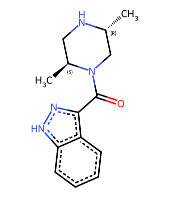 C[C@@H]1CN(C(=O)c2n[nH]c3ccccc23)[C@@H](C)CN1